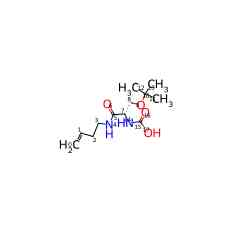 C=CCCNC(=O)[C@H](COC(C)(C)C)NC(=O)O